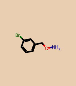 NOCc1cccc(Br)c1